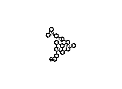 c1ccc(-c2ccc(-c3ccccc3-c3cc(-c4ccccc4-c4ccc(-c5ccc(-n6c7ccccc7c7ccccc76)cc5)nc4)cc(-c4ccccc4-c4ccc(-c5ccc6c(c5)C5CC7CC5CC67)nc4)c3)cn2)cc1